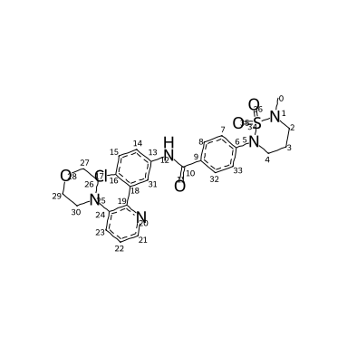 CN1CCCN(c2ccc(C(=O)Nc3ccc(Cl)c(-c4ncccc4N4CCOCC4)c3)cc2)S1(=O)=O